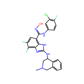 CN1Cc2ccccc2C(Nc2nc3c(F)c(F)cc(/C(=N/O)Nc4ccc(F)c(Cl)c4)c3[nH]2)C1